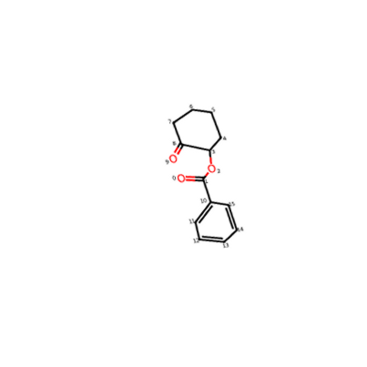 O=C(OC1CCCCC1=O)c1ccccc1